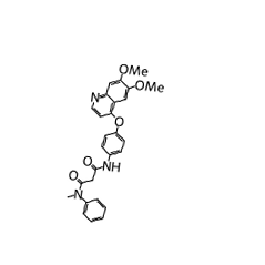 COc1cc2nccc(Oc3ccc(NC(=O)CC(=O)N(C)c4ccccc4)cc3)c2cc1OC